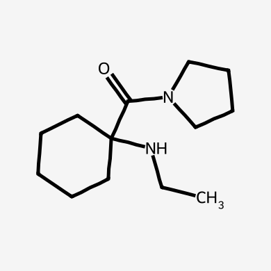 CCNC1(C(=O)N2CCCC2)CCCCC1